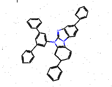 C1=CC(c2ccccc2)Cc2c1n1c3ccc(-c4ccccc4)cc3nc1n2-c1cc(-c2ccccc2)cc(-c2ccccc2)c1